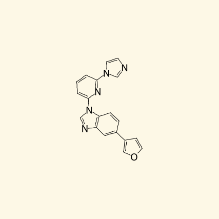 c1cc(-n2ccnc2)nc(-n2cnc3cc(-c4ccoc4)ccc32)c1